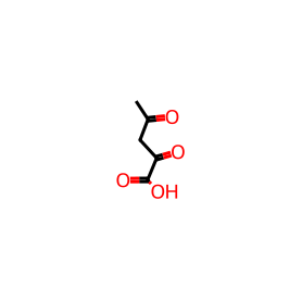 CC(=O)CC(=O)C(=O)O